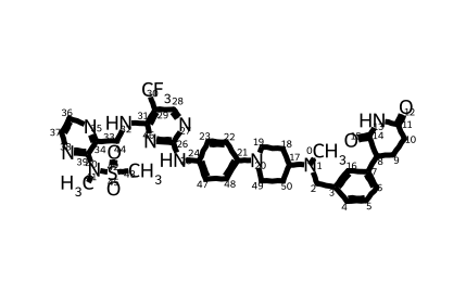 CN(Cc1cccc(C2CCC(=O)NC2=O)c1)C1CCN(c2ccc(Nc3ncc(C(F)(F)F)c(NCc4nccnc4N(C)S(C)(=O)=O)n3)cc2)CC1